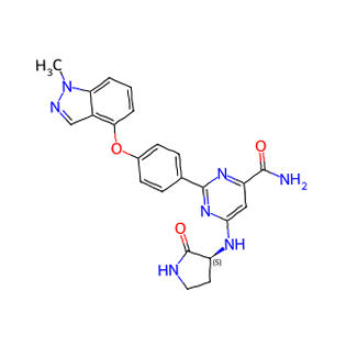 Cn1ncc2c(Oc3ccc(-c4nc(N[C@H]5CCNC5=O)cc(C(N)=O)n4)cc3)cccc21